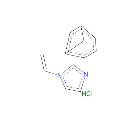 C=Cn1ccnc1.Cl.c1cc2cc(c1)C2